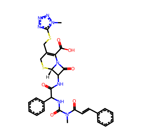 CN(C(=O)C=Cc1ccccc1)C(=O)NC(C(=O)NC1C(=O)N2C(C(=O)O)=C(CSc3nnnn3C)CS[C@@H]12)c1ccccc1